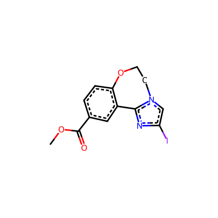 COC(=O)c1ccc2c(c1)-c1nc(I)cn1CCO2